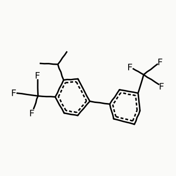 CC(C)c1cc(-c2cccc(C(F)(F)F)c2)ccc1C(F)(F)F